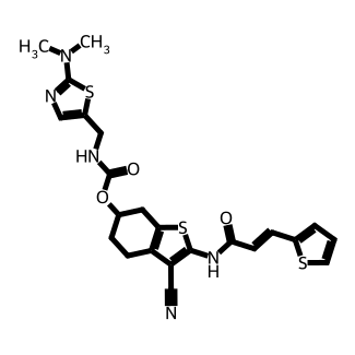 CN(C)c1ncc(CNC(=O)OC2CCc3c(sc(NC(=O)C=Cc4cccs4)c3C#N)C2)s1